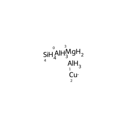 [AlH3].[AlH3].[Cu].[MgH2].[SiH4]